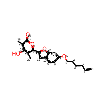 C=CCCCCOc1ccc2cc(-c3oc(=O)c(C)c(O)c3C)oc2c1